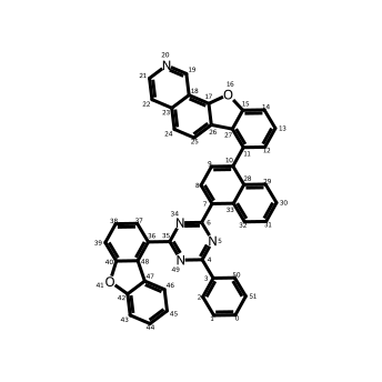 c1ccc(-c2nc(-c3ccc(-c4cccc5oc6c7cnccc7ccc6c45)c4ccccc34)nc(-c3cccc4oc5ccccc5c34)n2)cc1